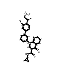 C[C@H](CC(=O)O)c1ccc(-c2cccc(-n3cc(C(=O)NC4CC4)c(=O)c4cccnc43)c2)cc1F